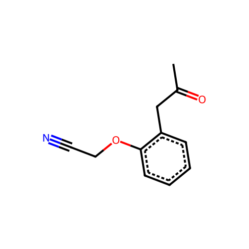 CC(=O)Cc1ccccc1OCC#N